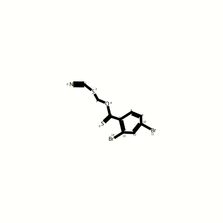 N#CSCOC(=S)c1ccc(Br)cc1Br